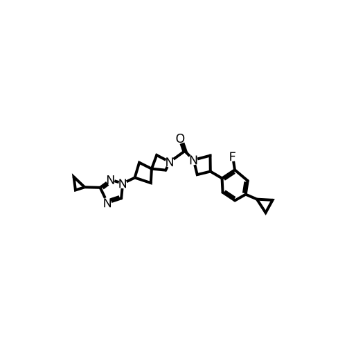 O=C(N1CC(c2ccc(C3CC3)cc2F)C1)N1CC2(CC(n3cnc(C4CC4)n3)C2)C1